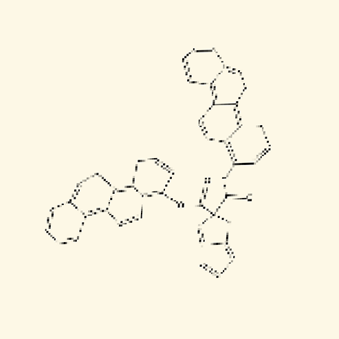 O=C(OC1=c2ccc3c(c2CC=C1)CC=c1ccccc1=3)C1(C(=O)OC2=c3ccc4c(c3CC=C2)CC=c2ccccc2=4)C=C2C=CC=C2C1